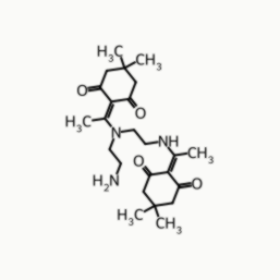 CC(NCCN(CCN)C(C)=C1C(=O)CC(C)(C)CC1=O)=C1C(=O)CC(C)(C)CC1=O